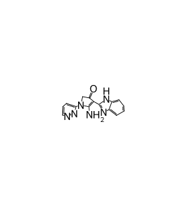 NC1=C(c2nc3ccccc3[nH]2)C(=O)CN1c1cccnn1